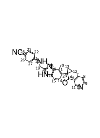 Cc1c(C2(C(=O)c3cccnc3)CC2)ccc2[nH]c(CNc3ccc(C#N)cc3)nc12